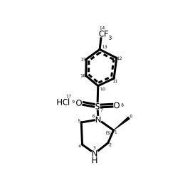 C[C@H]1CNCCN1S(=O)(=O)c1ccc(C(F)(F)F)cc1.Cl